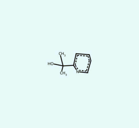 CC(C)(O)c1ccc[c]n1